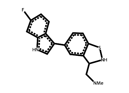 CNCC1NSc2ccc(-c3c[nH]c4cc(F)ccc34)cc21